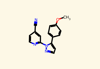 COc1ccc(-c2ccnn2-c2cc(C#N)ccn2)cc1